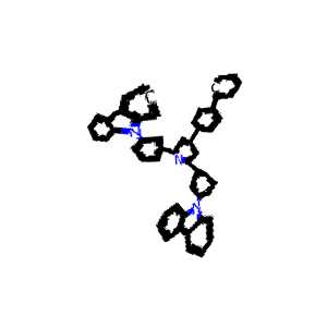 C1=CC2c3ccccc3N(c3cccc(-c4cc(-c5ccc(-c6ccccc6)cc5)cc(-c5cccc(-n6c7ccccc7c7ccccc76)c5)n4)c3)C2C=C1